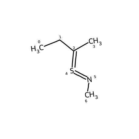 CCC(C)=S=NC